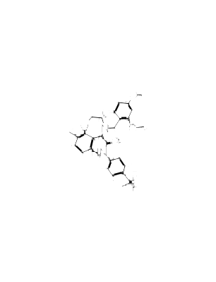 COc1ccc(CN2C(=O)COc3c(C)ccc(C)c3C2C(=O)Nc2ccc(C(F)(F)F)cc2)c(OC)c1